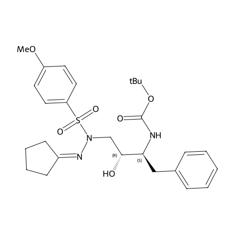 COc1ccc(S(=O)(=O)N(C[C@@H](O)[C@H](Cc2ccccc2)NC(=O)OC(C)(C)C)N=C2CCCC2)cc1